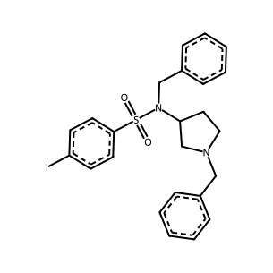 O=S(=O)(c1ccc(I)cc1)N(Cc1ccccc1)C1CCN(Cc2ccccc2)C1